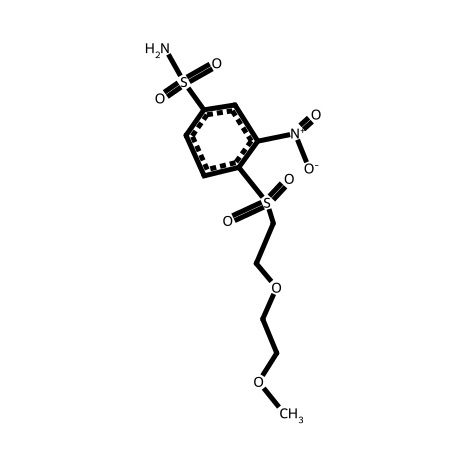 COCCOCCS(=O)(=O)c1ccc(S(N)(=O)=O)cc1[N+](=O)[O-]